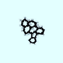 c1ccc2c(c1)-c1cccc3c1c-2c1ccc2cccc4ccc3c1c24